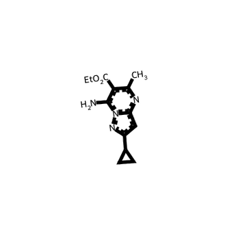 CCOC(=O)c1c(C)nc2cc(C3CC3)nn2c1N